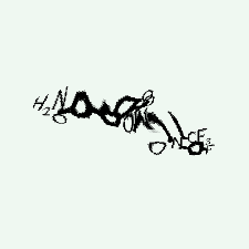 CC(N(Cc1ccc(F)cc1)C(=O)CN1CO[C@]2(C(=O)Cc3cc(-c4ccc(C(N)=O)cc4)ccc32)C1=O)C(F)(F)F